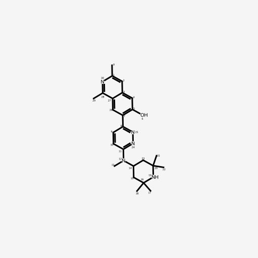 Cc1cc2cc(O)c(-c3ccc(N(C)C4CC(C)(C)NC(C)(C)C4)nn3)cc2c(C)n1